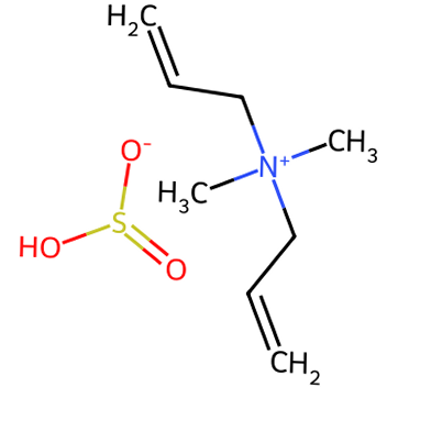 C=CC[N+](C)(C)CC=C.O=S([O-])O